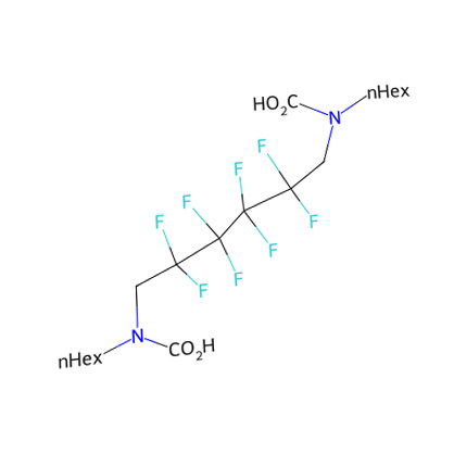 CCCCCCN(CC(F)(F)C(F)(F)C(F)(F)C(F)(F)CN(CCCCCC)C(=O)O)C(=O)O